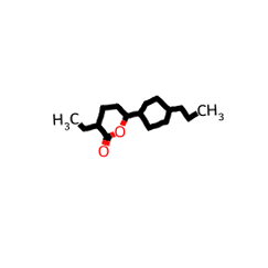 CCCC1CCC(C2CCC(CC)C(=O)O2)CC1